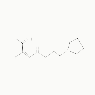 CCC(=N)/C(I)=C\NCCCN1CCCC1